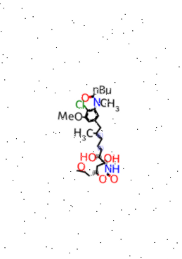 CCCCC(=O)N(C)c1cc(C/C(C)=C/C=C/[C@@H](O)[C@@]2(O)C[C@@H](CC3CO3)OC(=O)N2)cc(OC)c1Cl